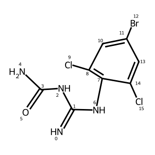 N=C(NC(N)=O)Nc1c(Cl)cc(Br)cc1Cl